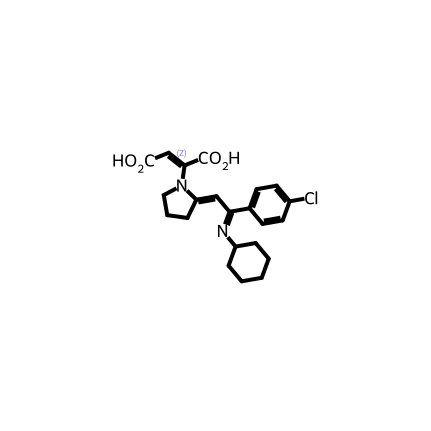 O=C(O)/C=C(/C(=O)O)N1CCCC1=CC(=NC1CCCCC1)c1ccc(Cl)cc1